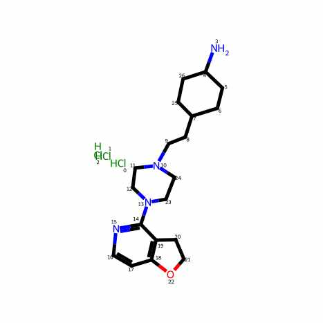 Cl.Cl.Cl.NC1CCC(CCN2CCN(c3nccc4c3CCO4)CC2)CC1